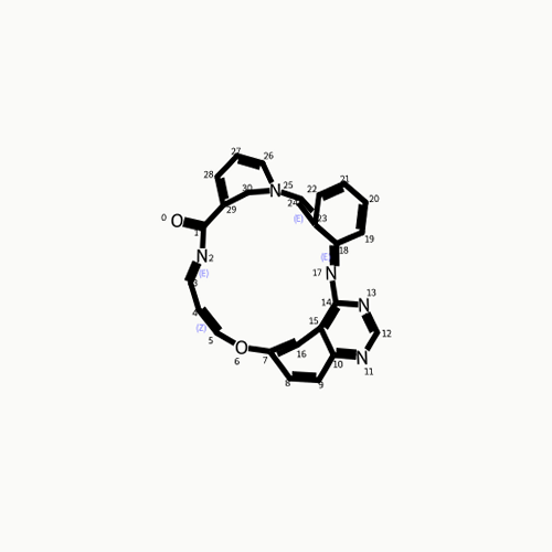 O=C1/N=C/C=C\Oc2ccc3ncnc(c3c2)/N=c2\cccc\c2=C/N2C=CC=C1C2